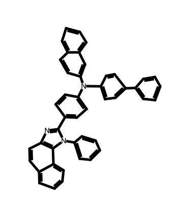 c1ccc(-c2ccc(N(c3ccc(-c4nc5ccc6ccccc6c5n4-c4ccccc4)cc3)c3ccc4ccccc4c3)cc2)cc1